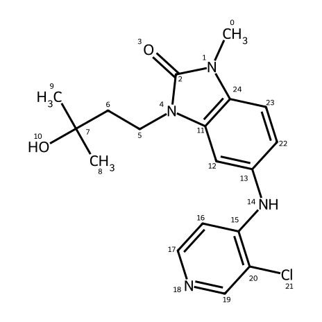 Cn1c(=O)n(CCC(C)(C)O)c2cc(Nc3ccncc3Cl)ccc21